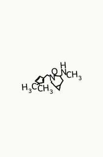 CNC1CC2CC2CN(CC2=CC(C)(C)C=C2)C1=O